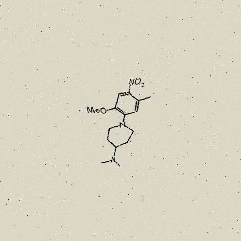 COc1cc([N+](=O)[O-])c(C)cc1N1CCC(N(C)C)CC1